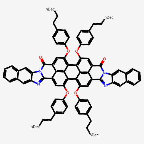 CCCCCCCCCCCCc1ccc(Oc2cc3c(=O)n4c5cc6ccccc6cc5nc4c4cc(Oc5ccc(CCCCCCCCCCCC)cc5)c5c6c(Oc7ccc(CCCCCCCCCCCC)cc7)cc7c8c(cc(Oc9ccc(CCCCCCCCCCCC)cc9)c(c2c5c34)c68)c(=O)n2c3cc4ccccc4cc3nc72)cc1